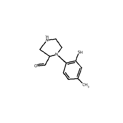 Cc1ccc(N2CCNCC2C=O)c(S)c1